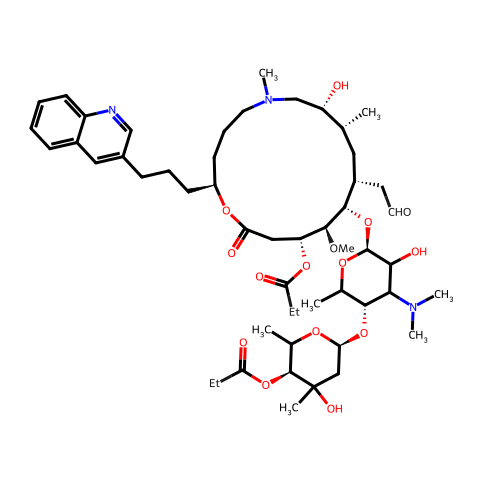 CCC(=O)O[C@@H]1CC(=O)O[C@@H](CCCc2cnc3ccccc3c2)CCCN(C)C[C@H](O)[C@H](C)C[C@H](CC=O)[C@H](O[C@@H]2OC(C)[C@@H](O[C@H]3CC(C)(O)[C@@H](OC(=O)CC)C(C)O3)C(N(C)C)C2O)[C@H]1OC